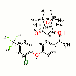 CCc1ccc(Oc2ccc(C(F)(F)F)cc2Cl)cc1C1=C(O)[C@H]2[C@@H](C1=O)[C@@H]1CC[C@H]2O1